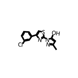 Cc1cc(O)n(-c2nc(-c3cccc(Cl)c3)cs2)n1